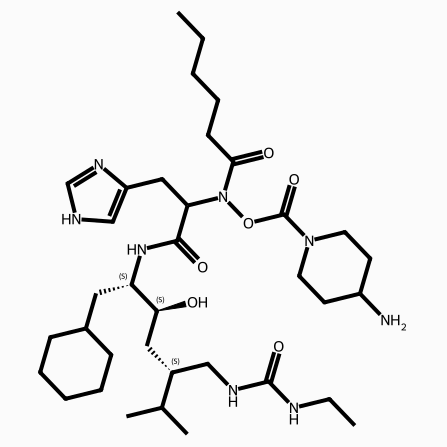 CCCCCC(=O)N(OC(=O)N1CCC(N)CC1)C(Cc1c[nH]cn1)C(=O)N[C@@H](CC1CCCCC1)[C@@H](O)C[C@H](CNC(=O)NCC)C(C)C